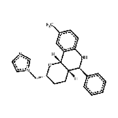 FC(F)(F)c1ccc2c(c1)[C@H]1O[C@@H](Cn3ccnc3)CC[C@H]1[C@H](c1ccccc1)N2